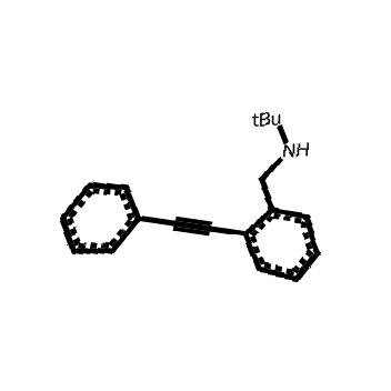 CC(C)(C)NCc1ccccc1C#Cc1ccccc1